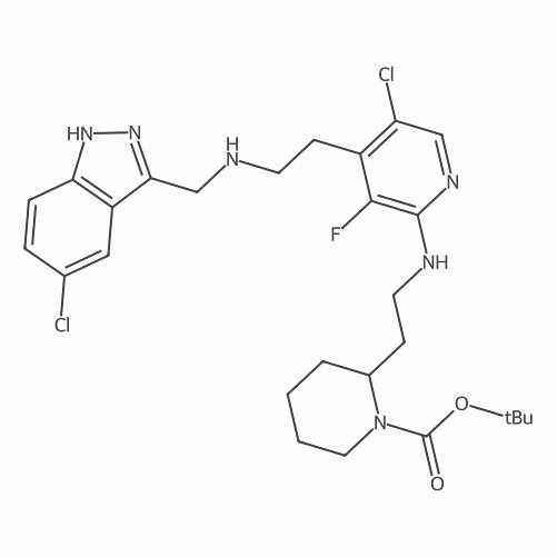 CC(C)(C)OC(=O)N1CCCCC1CCNc1ncc(Cl)c(CCNCc2n[nH]c3ccc(Cl)cc23)c1F